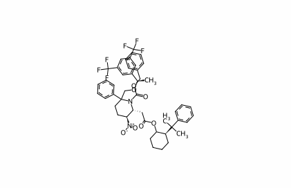 C[C@@H](OCC1(c2ccccc2)CC[C@H]([N+](=O)[O-])[C@@H](CC(=O)OC2CCCC[C@@H]2C(C)(C)c2ccccc2)N1C(=O)OCc1ccccc1)c1cc(C(F)(F)F)cc(C(F)(F)F)c1